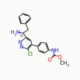 COC(=O)Nc1ccc(-c2cc([C@@H](N)Cc3ccccc3)nnc2Cl)cc1